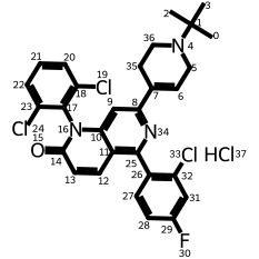 CC(C)(C)N1CC=C(c2cc3c(ccc(=O)n3-c3c(Cl)cccc3Cl)c(-c3ccc(F)cc3Cl)n2)CC1.Cl